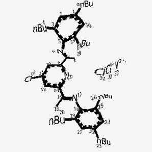 CCCCc1cc(CCCC)c(N=C(C)c2cc(Cl)cc(C(C)=Nc3c(CCCC)cc(CCCC)cc3CCCC)n2)c(CCCC)c1.[Cl-].[Cl-].[V+2]